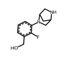 OCc1cccc(N2CC3CC2CN3)c1F